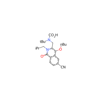 CCCCOc1c(CN(C(=O)O)C(C)(C)C)n(CC(C)C)c(=O)c2ccc(C#N)cc12